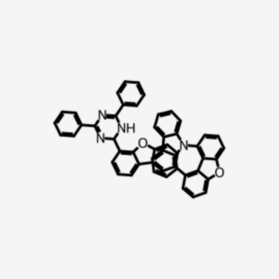 c1ccc(C2=NC(c3cccc4c3oc3ccc(-c5cccc6oc7cccc(-n8c9ccccc9c9ccccc98)c7c56)cc34)NC(c3ccccc3)=N2)cc1